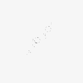 CN1CCN(c2ccc(CN(C(=O)C3CCCCC3)c3ccc(F)cc3)cn2)CC1